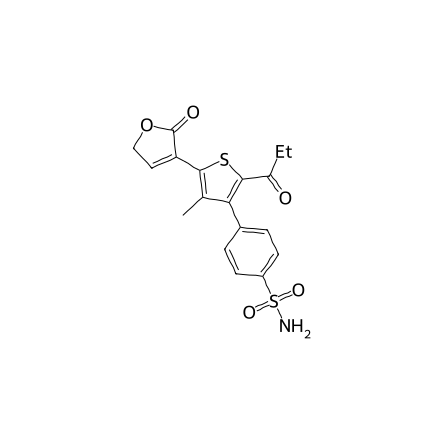 CCC(=O)c1sc(C2=CCOC2=O)c(C)c1-c1ccc(S(N)(=O)=O)cc1